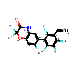 C=Cc1c(F)c(F)c(F)c(-c2cc3c(cc2F)OC(F)(F)C(=O)N3)c1F